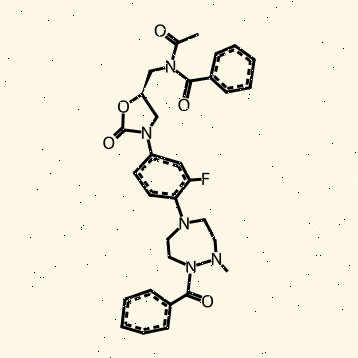 CC(=O)N(C[C@H]1CN(c2ccc(N3CCN(C)N(C(=O)c4ccccc4)CC3)c(F)c2)C(=O)O1)C(=O)c1ccccc1